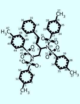 Cc1ccc(S(=O)(=O)N(CC(/C=C/c2ccccc2)N(S(=O)(=O)c2ccc(C)cc2)S(=O)(=O)c2ccc(C)cc2)S(=O)(=O)c2ccc(C)cc2)cc1